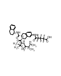 CN[C@@H](C)C(=O)N[C@H](C(=O)N1Cc2cc(NC(=O)C(F)(F)C(F)(F)C(F)(F)C(=O)O)ccc2C[C@H]1C(=O)N[C@@H]1CCCc2ccccc21)C(C)(C)C